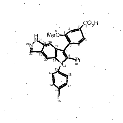 COc1cc(C(=O)O)ccc1-c1c(C(C)C)n(-c2ccc(F)cc2)c2cc3cn[nH]c3cc12